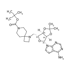 CC(C)(C)OC(=O)N1CCC2(CC1)CCN2C[C@H]1O[C@@H](n2ccc3c(N)ncnc32)[C@@H]2OC(C)(C)O[C@@H]21